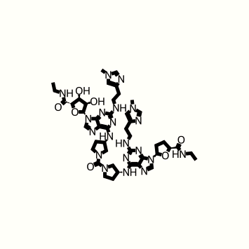 CCNC(=O)[C@@H]1CC[C@H](n2cnc3c(N[C@@H]4CCN(C(=O)N5CC[C@@H](Nc6nc(NCCc7cn(C)cn7)nc7c6ncn7[C@@H]6O[C@H](C(=O)NCC)[C@@H](O)[C@H]6O)C5)C4)nc(NCCc4cn(C)cn4)nc32)O1